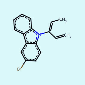 C=C/C(=C\C)n1c2ccccc2c2cc(Br)ccc21